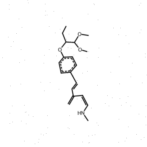 C=C(/C=C\NC)/C=C/c1ccc(OC(CC)C(OC)OC)cc1